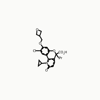 CC(C)C1(C(=O)O)Oc2cc(OCC3COC3)c(Cl)cc2-c2c1ccc(=O)n2C1CC1